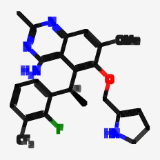 COc1cc2nc(C)nc(N)c2c([C@@H](C)c2cccc(C(F)(F)F)c2F)c1OCC1=CCCN1